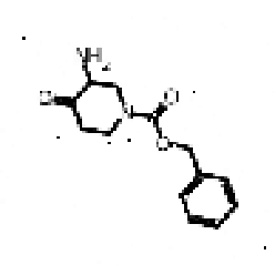 NC1CN(C(=O)OCc2ccccc2)CCC1=O